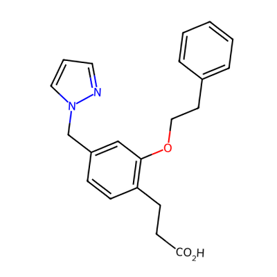 O=C(O)CCc1ccc(Cn2cccn2)cc1OCCc1ccccc1